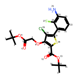 CC(C)(C)OC(=O)COc1c(C(=O)OC(C)(C)C)sc(-c2cccc(N)c2F)c1Cl